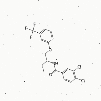 CCC(COc1cccc(C(F)(F)F)c1)NC(=O)c1ccc(Cl)c(Cl)c1